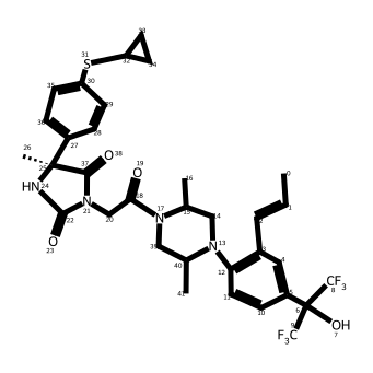 CC=Cc1cc(C(O)(C(F)(F)F)C(F)(F)F)ccc1N1CC(C)N(C(=O)CN2C(=O)N[C@@](C)(c3ccc(SC4CC4)cc3)C2=O)CC1C